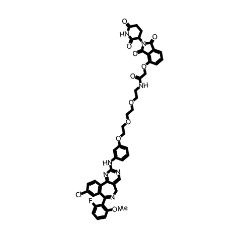 COc1cccc(F)c1C1=NCc2cnc(Nc3cccc(OCCOCCOCCNC(=O)COc4cccc5c4C(=O)N(C4CCC(=O)NC4=O)C5=O)c3)nc2-c2ccc(Cl)cc21